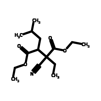 CCOC(=O)C(CC(C)C)C(C#N)(CC)C(=O)OCC